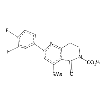 CSc1cc(-c2ccc(F)c(F)c2)nc2c1C(=O)N(C(=O)O)CC2